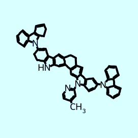 Cc1ccnc(-n2c3ccc(-n4c5ccccc5c5ccccc54)cc3c3cc4c(cc32)-c2cc3[nH]c5c(c3cc2CC4)C=C(n2c3c(c4ccccc42)C=CCC3)CC5)c1